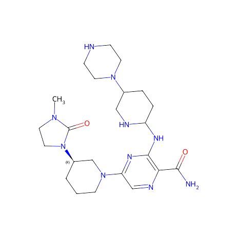 CN1CCN([C@@H]2CCCN(c3cnc(C(N)=O)c(NC4CCC(N5CCNCC5)CN4)n3)C2)C1=O